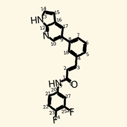 O=C(C=Cc1cccc(-c2cnc3[nH]ccc3c2)c1)Nc1ccc(F)c(F)c1